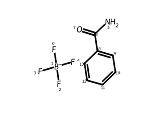 F[B-](F)(F)F.NC(=O)c1ccccc1